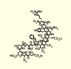 CC(C)C[C@H](NC(=O)[C@H](Cc1c[nH]cn1)NC(=O)[C@H](CC(N)=O)NC(=O)[C@H](CCC(=O)O)NC(=O)[C@H](CO)NC(=O)[C@H](C)NC(=O)[C@@H](NC(=O)[C@H](Cc1ccccc1)NC(=O)[C@H](CO)NC(=O)CNC(=O)[C@H](CO)NC(=O)[C@H](CCC(=O)O)NC(=O)[C@H](C)NC(=O)[C@@H](N)CCC(=O)O)[C@@H](C)O)C(=O)N[C@@H](CCCNC(=N)N)C(N)=O